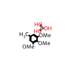 COc1cc(C)cc(OC)c1OC.OB(O)O